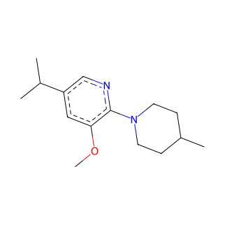 COc1cc(C(C)C)cnc1N1CCC(C)CC1